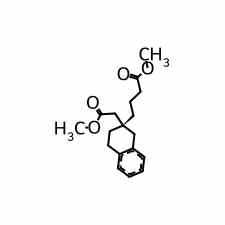 COC(=O)CCC[C@]1(CC(=O)OC)CCc2ccccc2C1